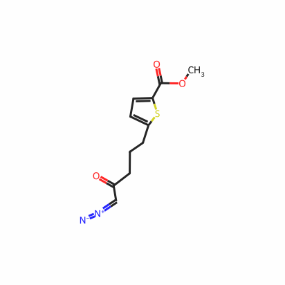 COC(=O)c1ccc(CCCC(=O)C=[N+]=[N-])s1